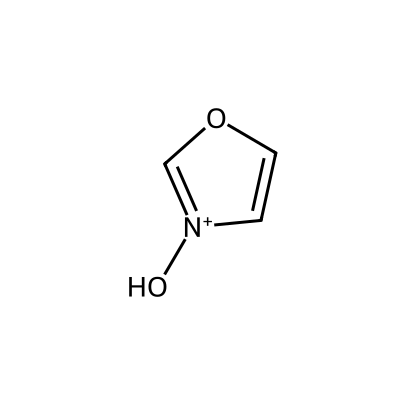 O[n+]1ccoc1